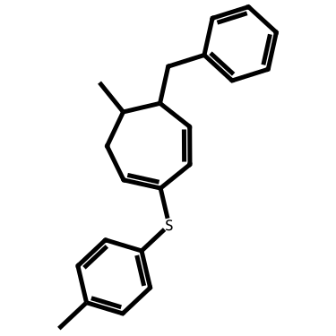 Cc1ccc(SC2=CCC(C)C(Cc3ccccc3)C=C2)cc1